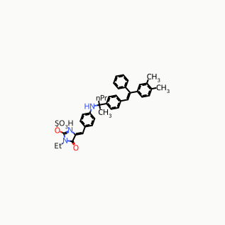 CCCC(C)(Nc1ccc(/C=C2\N=C(OS(=O)(=O)O)N(CC)C2=O)cc1)c1ccc(/C=C(\c2ccccc2)c2ccc(C)c(C)c2)cc1